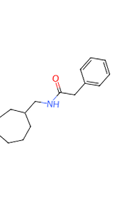 O=C(Cc1ccccc1)NCC1CCCCCC1